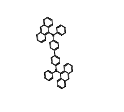 c1ccc(N(c2ccc(-c3ccc(N(c4ccccc4)c4c5ccccc5cc5ccccc45)cc3)cc2)c2c3ccccc3cc3ccccc23)cc1